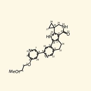 COCCOc1cncc(-c2cc3c(cn2)CCc2c-3[nH]c3c2C(=O)NCC32CC2)c1